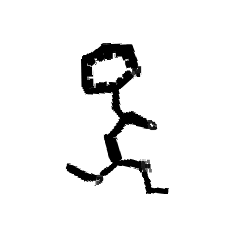 CCN/C(=C\C(=O)c1ccccn1)SC